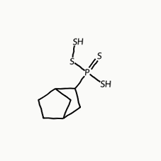 S=P(S)(SS)C1CC2CCC1C2